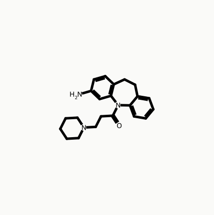 Nc1ccc2c(c1)N(C(=O)CCN1CCCCC1)c1ccccc1CC2